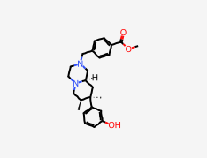 COC(=O)c1ccc(CN2CCN3C[C@H](C)[C@](C)(c4cccc(O)c4)C[C@@H]3C2)cc1